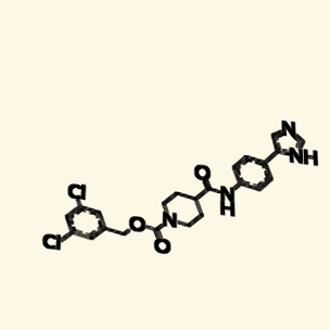 O=C(Nc1ccc(-c2cnc[nH]2)cc1)C1CCN(C(=O)OCc2cc(Cl)cc(Cl)c2)CC1